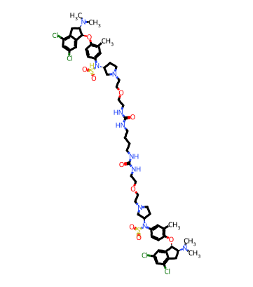 Cc1cc(N([C@@H]2CCN(CCOCCNC(=O)NCCCCNC(=O)NCCOCCN3CC[C@@H](N(c4ccc(O[C@H]5c6cc(Cl)cc(Cl)c6C[C@@H]5N(C)C)c(C)c4)[SH](=O)=O)C3)C2)[SH](=O)=O)ccc1O[C@H]1c2cc(Cl)cc(Cl)c2C[C@@H]1N(C)C